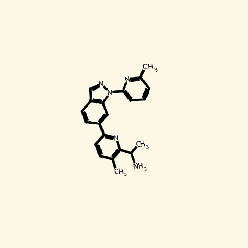 Cc1cccc(-n2ncc3ccc(-c4ccc(C)c(C(C)N)n4)cc32)n1